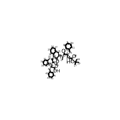 CN(C(=O)[C@H](Cc1ccccc1)NC(=O)OC(C)(C)C)[C@H]1Cc2ccccc2N([C@@H](Cc2ccccc2)C(=O)N[C@@H](Cc2ccccc2)C(=O)O)C1=O